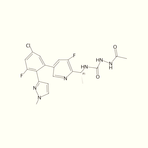 CC(=O)NNC(=O)N[C@H](C)c1ncc(-c2cc(Cl)cc(F)c2-c2ccn(C)n2)cc1F